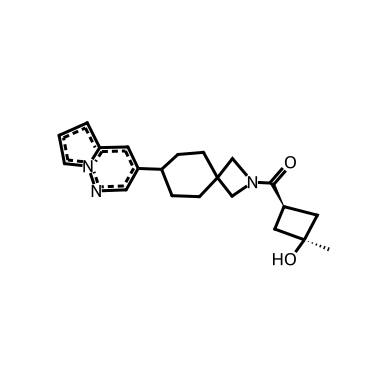 C[C@]1(O)C[C@@H](C(=O)N2CC3(CCC(c4cnn5cccc5c4)CC3)C2)C1